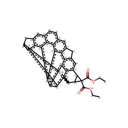 CCOC(=O)C1(C(=O)OCC)C2c3cc4c5c6c(cc7ccc8cc9c%10c%11c(cc(c%12c3c5c(c%12%11)c3c6c7c8c%103)C21)C9)C4